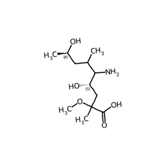 COC(C)(C[C@H](O)C(N)C(C)C[C@@H](C)O)C(=O)O